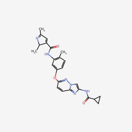 CC1=NC(C)C(C(=O)Nc2cc(Oc3ccc4nc(NC(=O)C5CC5)cn4n3)ccc2C)=C1